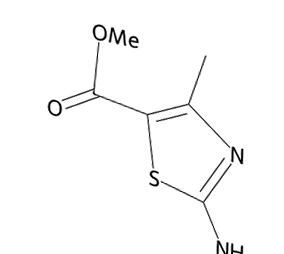 COC(=O)c1sc(N)nc1C